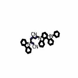 N#C/C=C(/C=C(C#N)\C=C\n1c2ccccc2c2c(-c3ccccc3Nc3ccccc3)cccc21)n1c2ccccc2c2ccccc21